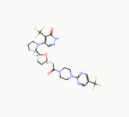 O=C(C[C@@H]1CC[C@H]([C@@H]2CCCN2c2cn[nH]c(=O)c2C(F)(F)F)O1)N1CCN(c2ncc(C(F)(F)F)cn2)CC1